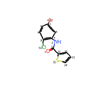 O=C(Nc1cc(Br)ccc1Cl)c1cccs1